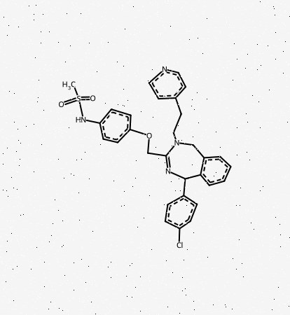 CS(=O)(=O)Nc1ccc(OCC2=NC(c3ccc(Cl)cc3)c3ccccc3CN2CCc2ccncc2)cc1